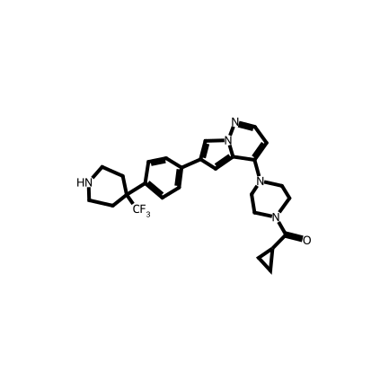 O=C(C1CC1)N1CCN(c2ccnn3cc(-c4ccc(C5(C(F)(F)F)CCNCC5)cc4)cc23)CC1